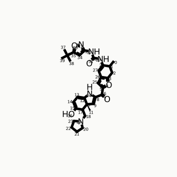 CC1Cc2oc(C(=O)C3=C[C@@]4(C)C(=CC=C(O)C4CN4CCCC4)N3)cc2C=C1NC(=O)Nc1cc(C(C)(C)C)on1